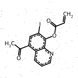 C=CC(=O)Oc1c(I)cc(C(C)=O)c2cccnc12